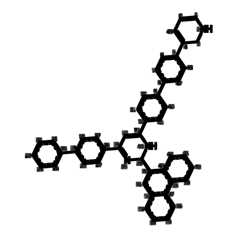 C1=CNCC(c2ccc(-c3ccc(C4=CC(c5ccc(-c6ccccc6)cc5)=NC(c5cc6ccccc6c6ccccc56)N4)cc3)cc2)=C1